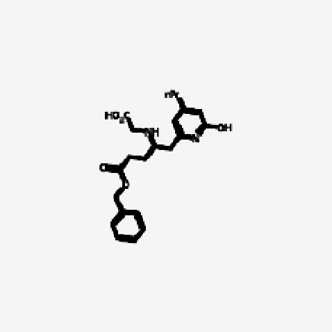 CCCc1cc(O)nc(CC(CCC(=O)OCc2ccccc2)NCC(=O)O)c1